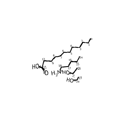 CCCCCCCCCCCC(=O)O.CCCCCN.CCO.CCO